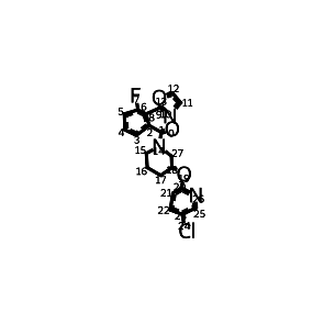 O=C(c1cccc(F)c1-c1ncco1)N1CCCC(Oc2ccc(Cl)cn2)C1